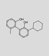 Cc1cccc(O)c1-c1cccc(C2CCCCC2)c1O